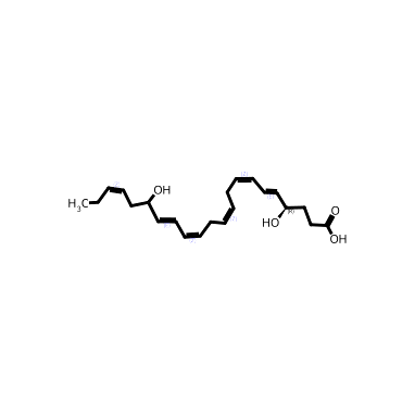 CC/C=C\CC(O)/C=C/C=C\C/C=C\C/C=C\C=C\[C@H](O)CCC(=O)O